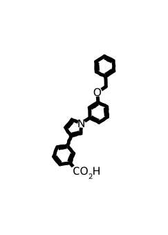 O=C(O)c1cccc(-c2ccn(-c3cccc(OCc4ccccc4)c3)c2)c1